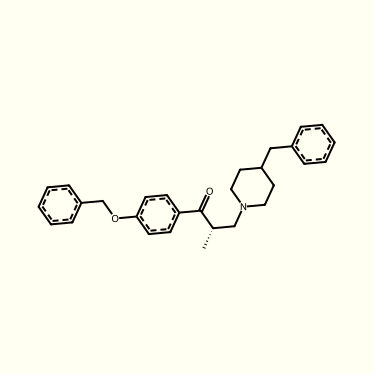 C[C@@H](CN1CCC(Cc2ccccc2)CC1)C(=O)c1ccc(OCc2ccccc2)cc1